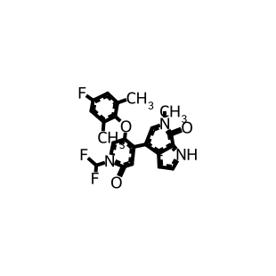 Cc1cc(F)cc(C)c1Oc1cn(C(F)F)c(=O)cc1-c1cn(C)c(=O)c2[nH]ccc12